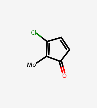 O=C1C=CC(Cl)=[C]1[Mo]